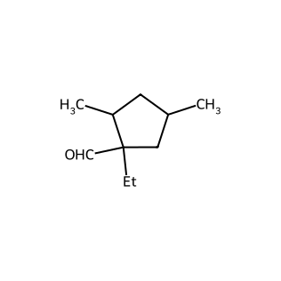 CCC1(C=O)CC(C)CC1C